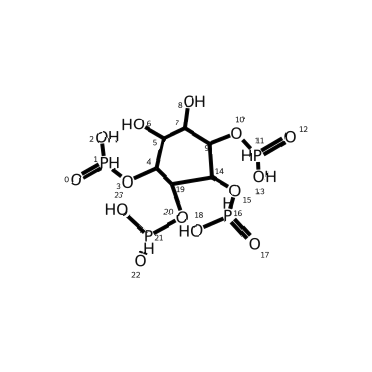 O=[PH](O)OC1C(O)C(O)C(O[PH](=O)O)C(O[PH](=O)O)C1O[PH](=O)O